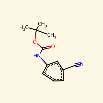 CC(C)(C)OC(=O)Nc1[c]c(C#N)ccc1